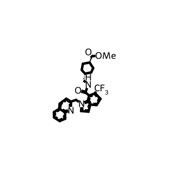 COC(=O)[C@H]1CC[C@H](CNC(=O)c2c(C(F)(F)F)ccc3ccn(Cc4ccc5ccccc5n4)c23)CC1